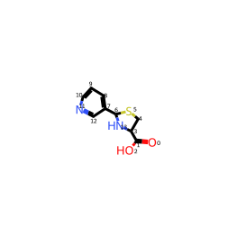 O=C(O)C1CSC(c2cccnc2)N1